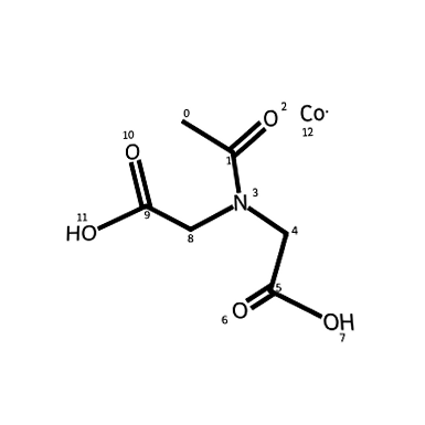 CC(=O)N(CC(=O)O)CC(=O)O.[Co]